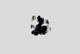 C=C(C)N(c1ccc(-c2ccc(N(/C(C)=C\C=C/C/C(=C/C=C3\C=CC3)N(c3ccccc3)c3ccc(-c4ccc(N(C(=C)C)c5ccc(C)c(C)c5)cc4)cc3)c3ccccc3)cc2)cc1)c1ccc(C)c(C)c1